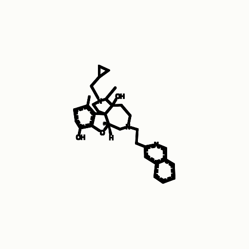 Cc1ccc(O)c2c1C13CCN(CC4CC4)C(C)C1(O)CCN(CCc1cc4ccccc4cn1)C[C@@H]3O2